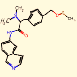 CSOCc1ccc(C(C(=O)Nc2ccc3cnccc3c2)N(C)C)cc1